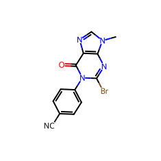 Cn1cnc2c(=O)n(-c3ccc(C#N)cc3)c(Br)nc21